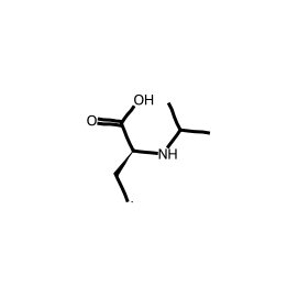 [CH2]C[C@H](NC(C)C)C(=O)O